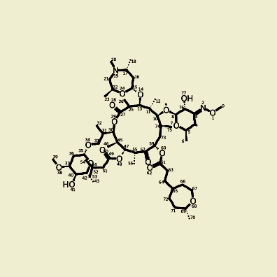 CO/N=C1\C[C@@H](C)O[C@@H](O[C@@H]2[C@@H](C)[C@H](O[C@H]3C[C@@H](C)N(C)C[C@H](C)O3)C(C)C(=O)O[C@H](C(C)CO[C@H]3C[C@H](OC)[C@H](O)[C@@H](C)O3)[C@H](C)[C@@H](OC(=O)CC(C)C)[C@@H](C)C(=O)[C@@H](OC(=O)CCC3CCO[C@H](C)CC3)C[C@@H]2C)[C@@H]1O